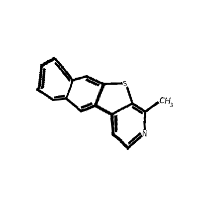 Cc1nccc2c1sc1cc3ccccc3cc12